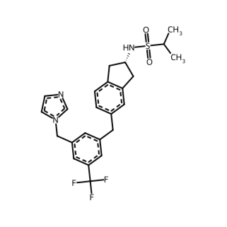 CC(C)S(=O)(=O)N[C@H]1Cc2ccc(Cc3cc(Cn4ccnc4)cc(C(F)(F)F)c3)cc2C1